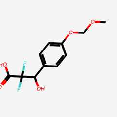 COCOc1ccc(C(O)C(F)(F)C(=O)O)cc1